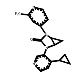 O=C1N(c2ccnc(C(F)(F)F)c2)C2CC2N1c1cnccc1C1CC1